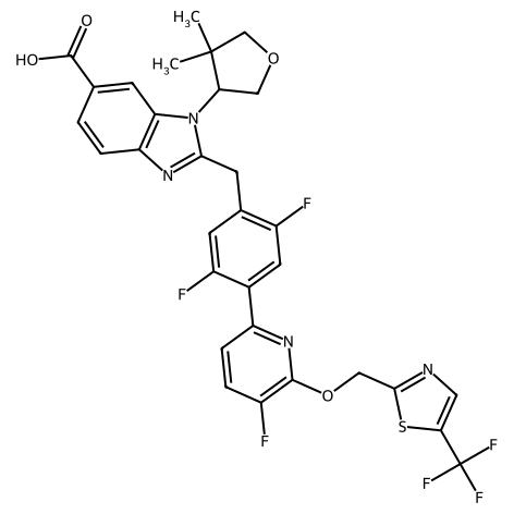 CC1(C)COCC1n1c(Cc2cc(F)c(-c3ccc(F)c(OCc4ncc(C(F)(F)F)s4)n3)cc2F)nc2ccc(C(=O)O)cc21